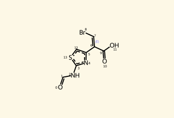 O=CNc1nc(/C(=C\Br)C(=O)O)cs1